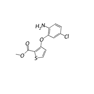 COC(=O)c1sccc1Oc1cc(Cl)ccc1N